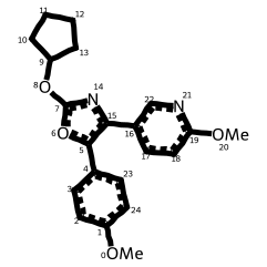 COc1ccc(-c2oc(OC3CCCC3)nc2-c2ccc(OC)nc2)cc1